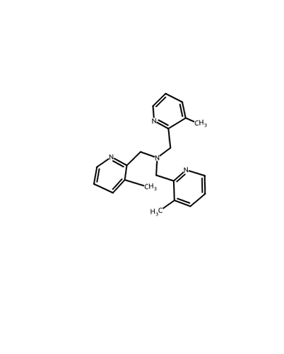 Cc1cccnc1CN(Cc1ncccc1C)Cc1ncccc1C